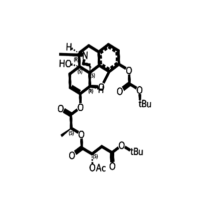 CC(=O)O[C@@H](CC(=O)OC(C)(C)C)C(=O)O[C@@H](C)C(=O)OC1=CC[C@@]2(O)[C@H]3Cc4ccc(OC(=O)OC(C)(C)C)c5c4[C@@]2(CCN3C)[C@H]1O5